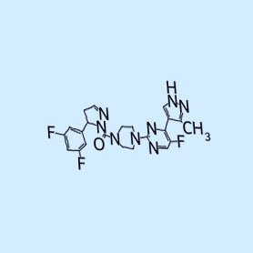 Cc1n[nH]cc1-c1nc(N2CCN(C(=O)N3N=CCC3c3cc(F)cc(F)c3)CC2)ncc1F